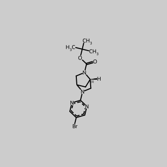 CC(C)(C)OC(=O)N1CC2C[C@H]1CN2c1ncc(Br)cn1